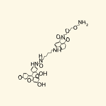 NCCOCCOCCN1C(=O)c2cccc3c(NCCCCCCNC(=O)Nc4ccc(-c5c6ccc(=O)cc-6oc6cc(O)ccc56)c(C(=O)O)c4)ccc(c23)C1=O